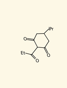 CCC(=O)C1C(=O)CC(C(C)C)CC1=O